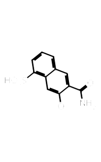 NC(=O)c1cc2cccc(S(=O)(=O)O)c2cc1[O]